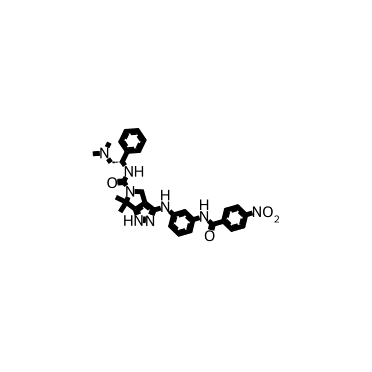 CN(C)C[C@@H](NC(=O)N1Cc2c(Nc3cccc(NC(=O)c4ccc([N+](=O)[O-])cc4)c3)n[nH]c2C1(C)C)c1ccccc1